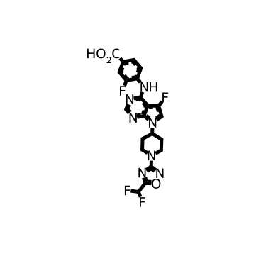 O=C(O)c1ccc(Nc2ncnc3c2c(F)cn3C2CCN(c3noc(C(F)F)n3)CC2)c(F)c1